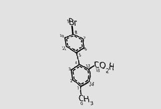 Cc1ccc(-c2ccc(Br)cc2)c(C(=O)O)c1